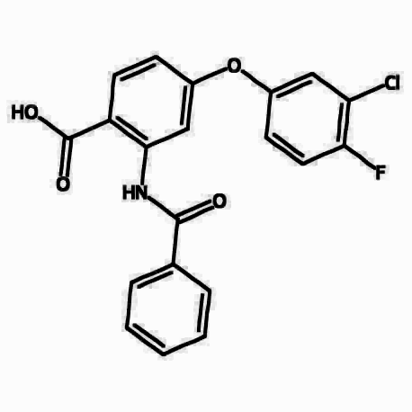 O=C(Nc1cc(Oc2ccc(F)c(Cl)c2)ccc1C(=O)O)c1ccccc1